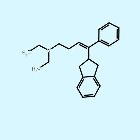 CCN(CC)CC/C=C(/c1ccccc1)C1Cc2ccccc2C1